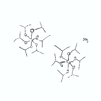 CC(C)[O][Ta]([O]C(C)C)([O]C(C)C)([O]C(C)C)([O]C(C)C)[O]C(C)C.CC(C)[O][Ta]([O]C(C)C)([O]C(C)C)([O]C(C)C)([O]C(C)C)[O]C(C)C.[SrH2]